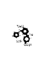 COc1ccc(C2(C#N)CCC(C(=O)O)CC2)cc1OC1CCCC1.[NaH]